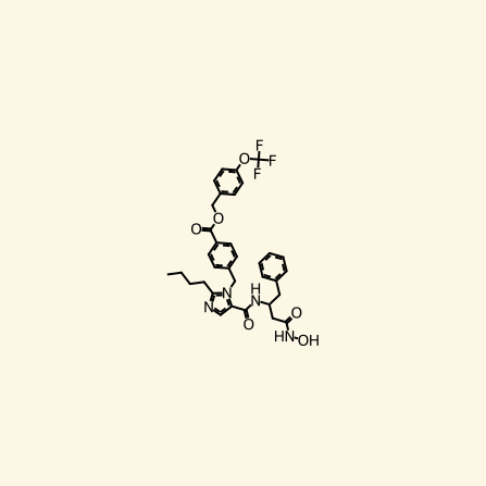 CCCCc1ncc(C(=O)NC(CC(=O)NO)Cc2ccccc2)n1Cc1ccc(C(=O)OCc2ccc(OC(F)(F)F)cc2)cc1